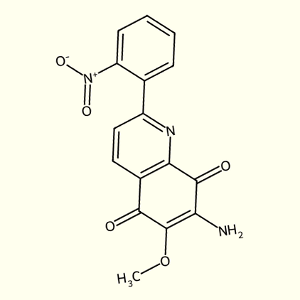 COC1=C(N)C(=O)c2nc(-c3ccccc3[N+](=O)[O-])ccc2C1=O